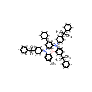 CC(C)(C)c1ccc2c(c1)B1c3cc(C(C)(C)c4ccccc4)ccc3N(C3=CC=C(C(C)(C)C4C=CC=CC4)CC3)c3cc(C4CCCCC4)cc(c31)N2C1CC=C(C(C)(C)c2ccccc2)CC1